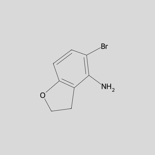 Nc1c(Br)ccc2c1CCO2